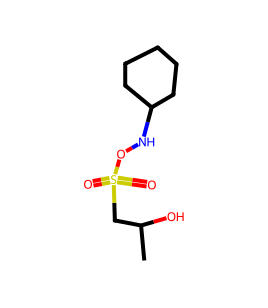 CC(O)CS(=O)(=O)ONC1CCCCC1